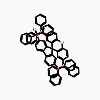 O=P(c1ccccc1)(c1ccccc1)c1ccc2c(c1)C1(c3cc(N(c4ccccc4)c4ccccc4)ccc3Oc3ccc(N(c4ccccc4)c4ccccc4)cc31)c1cc(P(c3ccccc3)c3ccccc3)ccc1-2